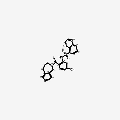 O=C(c1ccc(Cl)cc1NS(=O)(=O)c1cccc2nccnc12)N1CCCc2ccccc2C1